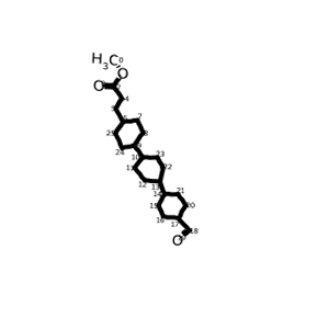 COC(=O)CCC1CCC(C2CCC(C3CCC(C=O)CC3)CC2)CC1